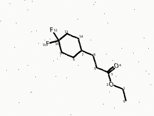 CCOC(=O)CCC1CCC(F)(F)CC1